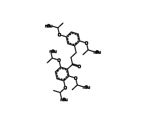 CCCCC(C)Oc1ccc(OC(C)CCCC)c(CCC(=O)c2c(OC(C)CCCC)ccc(OC(C)CCCC)c2OC(C)CCCC)c1